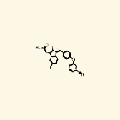 CC1=C(CC(=O)O)c2cc(F)ccc2/C1=C\c1ccc(Oc2cccc(C#N)c2)cc1